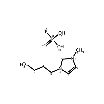 CCCCN1C=CN(C)C1.O=P(O)(O)F